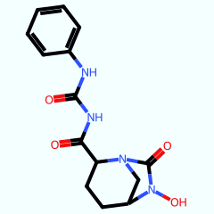 O=C(NC(=O)C1CCC2CN1C(=O)N2O)Nc1ccccc1